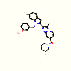 COc1cccc(Cn2c(-c3nc4cc(C(=O)N5CCC[C@@H](N)C5)ccn4c3C)cc3ccc(F)cc32)c1